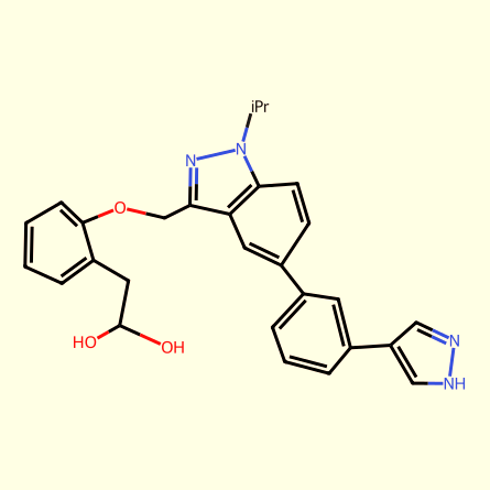 CC(C)n1nc(COc2ccccc2CC(O)O)c2cc(-c3cccc(-c4cn[nH]c4)c3)ccc21